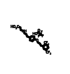 O=C(O)C(F)(F)F.O=C(O)CCNCCCc1ccc(OCCCc2cc(C(F)(F)F)ccc2C(F)(F)F)cc1